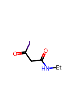 CCNC(=O)CC(=O)I